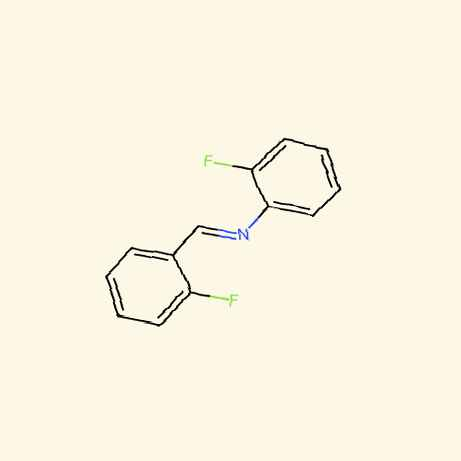 Fc1ccccc1/C=N/c1ccccc1F